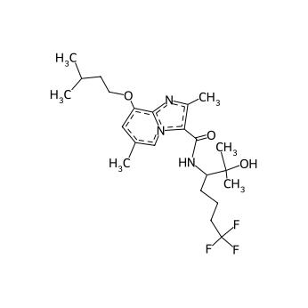 Cc1cc(OCCC(C)C)c2nc(C)c(C(=O)NC(CCCC(F)(F)F)C(C)(C)O)n2c1